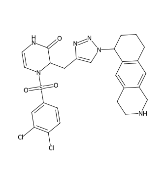 O=C1NC=CN(S(=O)(=O)c2ccc(Cl)c(Cl)c2)C1Cc1cn(C2CCCc3cc4c(cc32)CCNC4)nn1